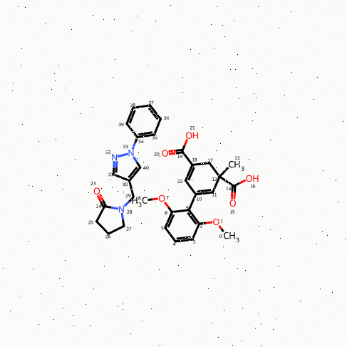 COc1cccc(OC)c1C1=CC(C)(C(=O)O)CC(C(=O)O)=C1.O=C1CCCN1Cc1cnn(-c2ccccc2)c1